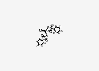 O=c1c(CS(=O)(=O)c2ccccc2)c1CS(=O)(=O)c1ccccc1